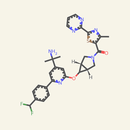 Cc1nc(-c2ncccn2)sc1C(=O)N1C[C@@H]2C(Oc3cc(C(C)(C)N)cc(-c4ccc(C(F)F)cc4)n3)[C@@H]2C1